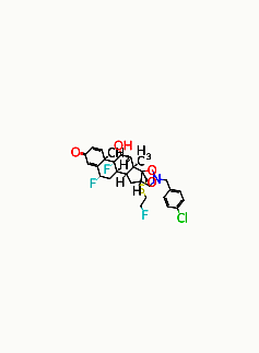 C[C@]12C=CC(=O)C=C1[C@@H](F)C[C@H]1[C@@H]3C[C@H]4CN(Cc5ccc(Cl)cc5)O[C@@]4(C(=O)SCCF)[C@@]3(C)C[C@H](O)[C@@]12F